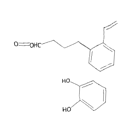 C=Cc1ccccc1CCCC=O.C=O.Oc1ccccc1O